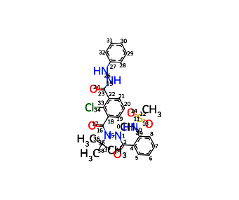 CN(C(=O)c1ccccc1NS(C)(=O)=O)N(C(=O)c1cccc(C(=O)NNc2ccccc2)c1Cl)C(C)(C)C